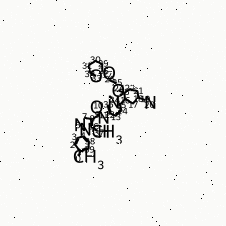 Cc1ccc(-n2ncc(C(=O)Nc3ccc(C4CC(C#N)CCC4OCCOC4CCCCO4)nc3)c2C)cc1